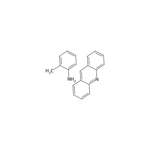 Cc1ccccc1N.c1ccc2nc3ccccc3cc2c1